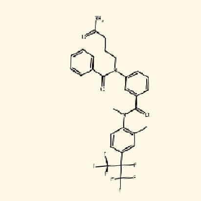 Cc1cc(C(F)(C(F)(F)F)C(F)(F)F)ccc1N(C)C(=O)c1cccc(N(CCCC(N)=O)C(=O)c2ccccc2)c1